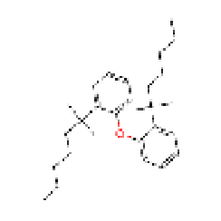 CCCCCC(C)(C)c1ccccc1Oc1ccccc1C(C)(C)CCCCC